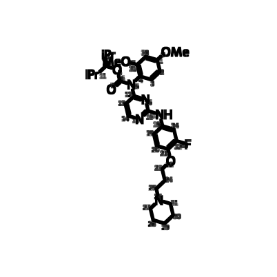 COc1ccc(N(C(=O)OC(C(C)C)C(C)C)c2ccnc(Nc3ccc(OCCCN4CCCCC4)c(F)c3)n2)c(OC)c1